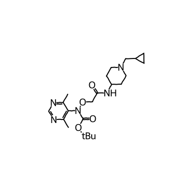 Cc1ncnc(C)c1N(OCC(=O)NC1CCN(CC2CC2)CC1)C(=O)OC(C)(C)C